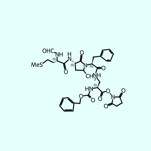 CSCC[C@H](NC=O)C(=O)N[C@H]1CC(C)N([C@@H](Cc2ccccc2)C(=O)NC[C@H](NC(=O)OCc2ccccc2)C(=O)ON2C(=O)CCC2=O)C1=O